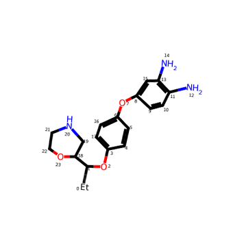 CCC(Oc1ccc(Oc2ccc(N)c(N)c2)cc1)C1CNCCO1